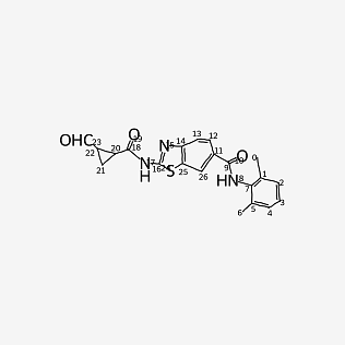 Cc1cccc(C)c1NC(=O)c1ccc2nc(NC(=O)C3CC3C=O)sc2c1